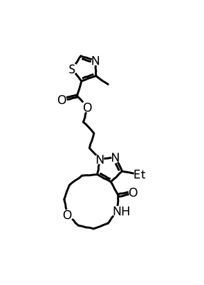 CCc1nn(CCCOC(=O)c2scnc2C)c2c1C(=O)NCCCOCCC2